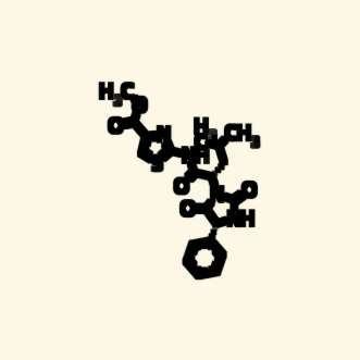 COC(=O)c1csc(NC(=O)[C@H](CC(C)C)N2C(=O)N[C@H](c3ccccc3)C2=O)n1